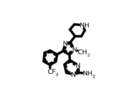 Cn1c(C2CCNCC2)nc(-c2cccc(C(F)(F)F)c2)c1-c1ccnc(N)n1